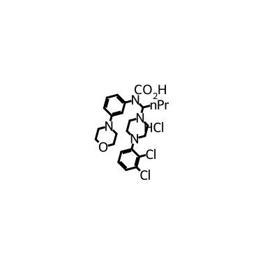 CCCC(N1CCN(c2cccc(Cl)c2Cl)CC1)N(C(=O)O)c1cccc(N2CCOCC2)c1.Cl